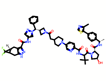 Cc1ncsc1-c1ccc([C@H](C)NC(=O)[C@@H]2C[C@@H](O)CN2C(=O)C(NC(=O)c2ccc(N3CCC(CC(=O)N4CC([C@@H](c5ccccc5)n5cc(NC(=O)c6n[nH]c7c6C[C@@H]6C(F)(F)[C@]6(C)C7)cn5)C4)CC3)cn2)C(C)(C)C)cc1